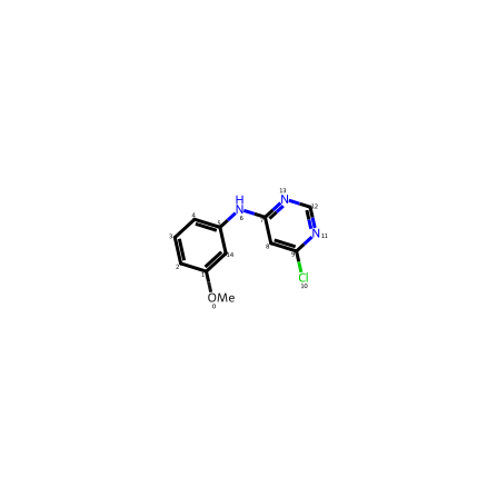 COc1cccc(Nc2cc(Cl)ncn2)c1